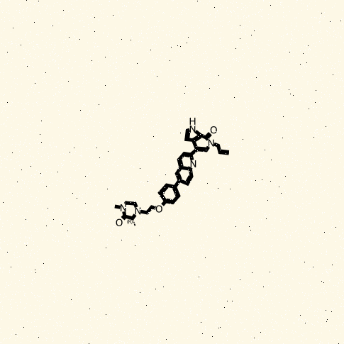 C=CCn1cc(-c2ccc3cc(-c4ccc(OCCN5CCN(C)C(=O)[C@H]5C)cc4)ccc3n2)c2cc[nH]c2c1=O